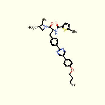 CC(C)CCCOc1ccc(-c2cnc(-c3ccc(CC(NC(=O)c4ccc(C(C)(C)C)s4)C(=O)N4CC(C(=O)O)C4C(C)(C)C)cc3)nc2)cc1